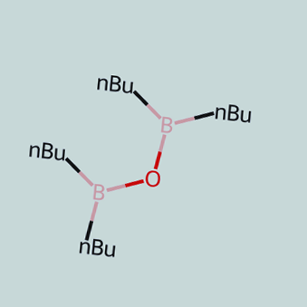 CCCCB(CCCC)OB(CCCC)CCCC